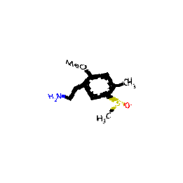 COc1cc(C)c([S+](C)[O-])cc1CCN